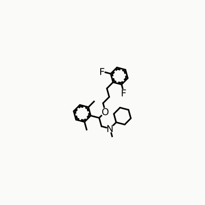 Cc1cccc(C)c1C(CN(C)C1CCCCC1)OCCCc1c(F)cccc1F